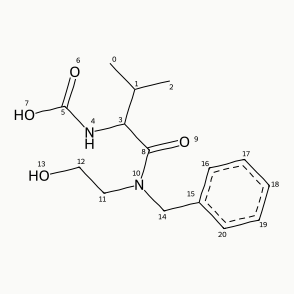 CC(C)C(NC(=O)O)C(=O)N(CCO)Cc1ccccc1